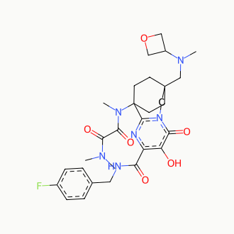 CN(C)C(=O)C(=O)N(C)C12CCC(CN(C)C3COC3)(CC1)Cn1c2nc(C(=O)NCc2ccc(F)cc2)c(O)c1=O